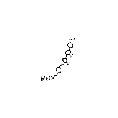 CCCC1CCC(c2ccc(-c3ccc(CCC4CCC(CCCOC)CC4)c(F)c3)c(F)c2)CC1